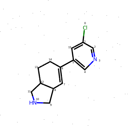 Clc1cncc(C2=CC3CNCC3CC2)c1